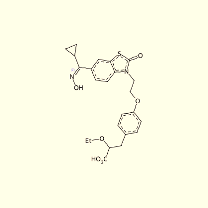 CCOC(Cc1ccc(OCCn2c(=O)sc3cc(/C(=N\O)C4CC4)ccc32)cc1)C(=O)O